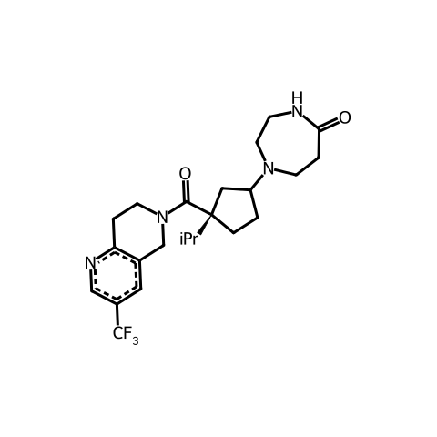 CC(C)[C@]1(C(=O)N2CCc3ncc(C(F)(F)F)cc3C2)CCC(N2CCNC(=O)CC2)C1